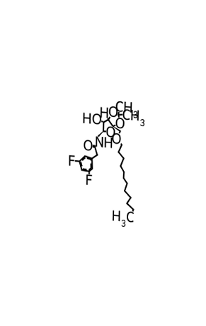 CCCCCCCCCCCCOC[C@@]12O[C@@H](CNC(=O)Cc3cc(F)cc(F)c3)[C@@H](O)[C@@H]1OC(C)(C)O2